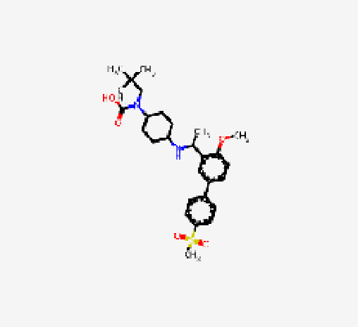 COc1ccc(-c2ccc(S(C)(=O)=O)cc2)cc1C(C)NC1CCC(N(CC(C)(C)C)C(=O)O)CC1